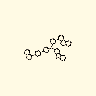 c1cc(-c2cccc3c2ccc2ccccc23)cc(N(c2ccc(-c3ccc(-c4cccc5ccccc45)cc3)cc2)c2ccc3c(c2)sc2ccccc23)c1